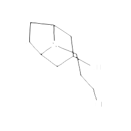 CC1CC2CCC(C1)N2CCCO